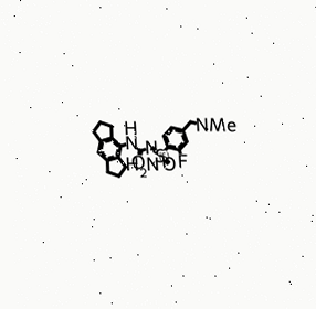 CNCc1ccc([S@@](N)(=O)=NC(=O)Nc2c3c(cc4c2CCC4)CCC3)c(F)c1